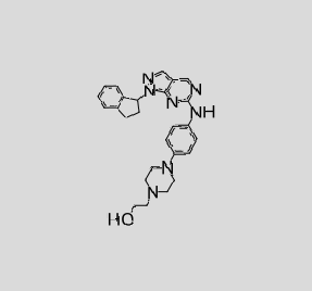 OCCN1CCN(c2ccc(Nc3ncc4cnn(C5CCc6ccccc65)c4n3)cc2)CC1